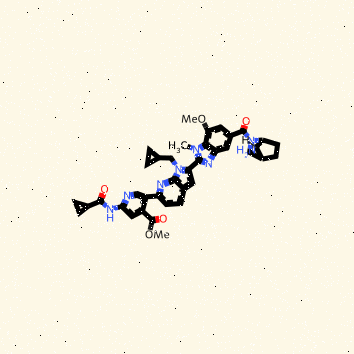 COC(=O)c1cc(NC(=O)C2CC2)ncc1-c1ccc2cc(-c3nc4cc(C(=O)N5CC6CCC5[C@@H]6N)cc(OC)c4n3C)n(CC3CC3)c2n1